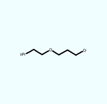 CCCCCOCCC[O]